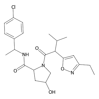 CCc1cc(C(C(=O)N2CC(O)CC2C(=O)NC(C)c2ccc(Cl)cc2)C(C)C)on1